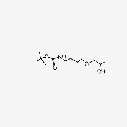 CC(O)COCCCCNC(=O)OC(C)(C)C